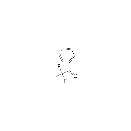 O=CC(F)(F)F.c1ccccc1